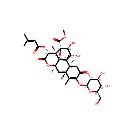 COC(=O)[C@@]12OC[C@]34[C@H]([C@@H](O)[C@@H]1O)[C@@]1(C)CC(=O)C(O[C@@H]5O[C@H](CO)[C@@H](O)[C@H](O)[C@H]5O)=C(C)[C@@H]1C[C@H]3OC(=O)[C@H](OC(=O)C=C(C)C)[C@@H]24